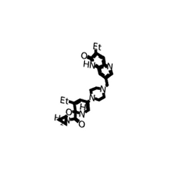 CCC1=CC(N2CCN(Cc3cnc4cc(CC)c(=O)[nH]c4c3)CC2)=CNC1(OC1CC1)C(N)=O